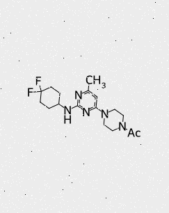 CC(=O)N1CCN(c2cc(C)nc(NC3CCC(F)(F)CC3)n2)CC1